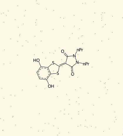 CCCN1C(=O)C(=C2Sc3c(O)ccc(O)c3S2)C(=O)N1CCC